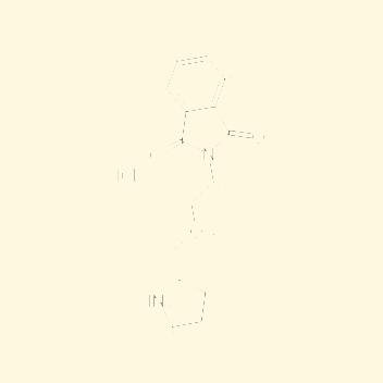 Cl.O=C1c2ccccc2C(=O)N1CCOC[C@@H]1CCCN1